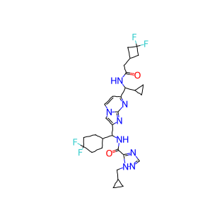 O=C(CC1CC(F)(F)C1)NC(c1ccn2cc(C(NC(=O)c3ncnn3CC3CC3)C3CCC(F)(F)CC3)nc2n1)C1CC1